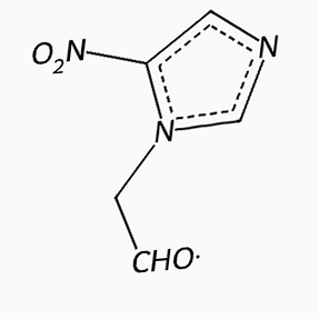 O=[C]Cn1cncc1[N+](=O)[O-]